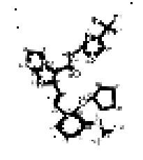 O=C(Nc1nc(C(F)(F)F)cs1)c1c(/C=C/c2cccc(OC(F)F)c2OC2CCCC2)nc2sccn12